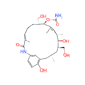 C/C1=C\CC[C@H](CO)[C@@H](OC(N)=O)/C(C)=C/[C@H](C)[C@@H](O)[C@@H](CO)C[C@H](C)Cc2cc(ccc2O)NC1=O